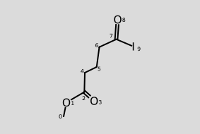 COC(=O)CCCC(=O)I